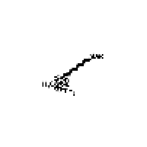 CCCCCCCCCCCCCCCCCCS(=O)(=O)C(S(C)(=O)=O)S(C)(=O)=O